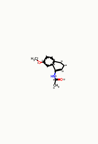 COc1ccc2c(c1)C(NC(C)=O)=CCC2